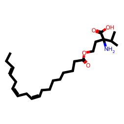 CC/C=C/C/C=C\C/C=C\CCCCCCCC(=O)OCCC(N)(C(=O)O)C(C)C